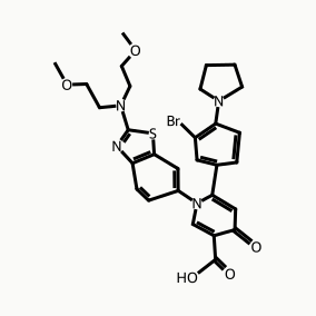 COCCN(CCOC)c1nc2ccc(-n3cc(C(=O)O)c(=O)cc3-c3ccc(N4CCCC4)c(Br)c3)cc2s1